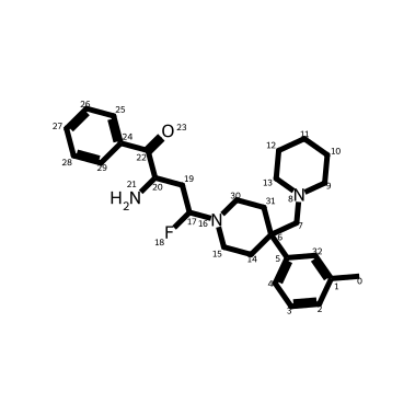 Cc1cccc(C2(CN3CCCCC3)CCN(C(F)CC(N)C(=O)c3ccccc3)CC2)c1